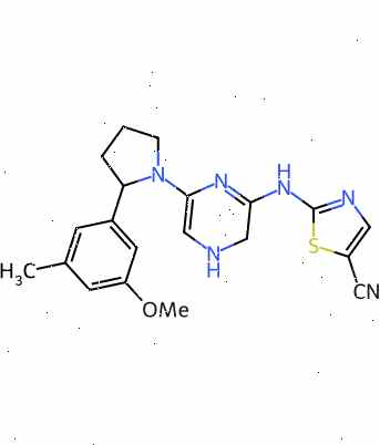 COc1cc(C)cc(C2CCCN2C2=CNCC(Nc3ncc(C#N)s3)=N2)c1